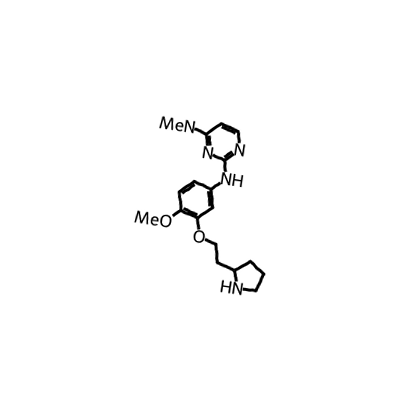 CNc1ccnc(Nc2ccc(OC)c(OCCC3CCCN3)c2)n1